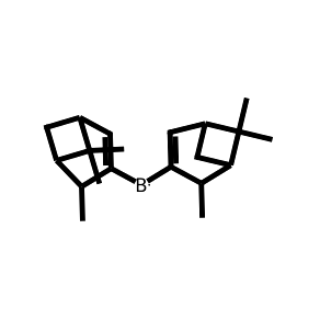 CC1C([B]C2=CC3CC(C2C)C3(C)C)=CC2CC1C2(C)C